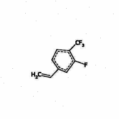 C=Cc1ccc(C(F)(F)F)c(F)c1